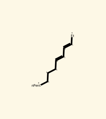 CC/[C]=C/C=CCCCCCCCC